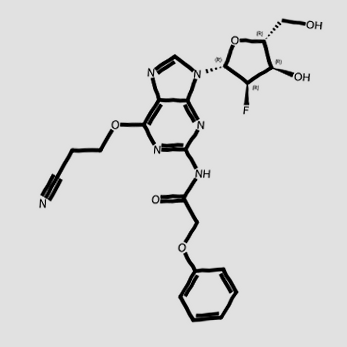 N#CCCOc1nc(NC(=O)COc2ccccc2)nc2c1ncn2[C@@H]1O[C@H](CO)[C@@H](O)[C@H]1F